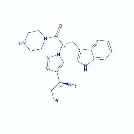 CC(C)C[C@H](N)c1cn([C@@H](Cc2c[nH]c3ccccc23)C(=O)N2CCNCC2)nn1